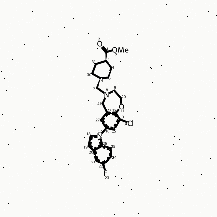 COC(=O)[C@H]1CC[C@@H](CN2CCOc3c(Cl)cc(-n4ccc5cc(F)ccc54)cc3C2)CC1